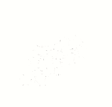 Cc1ccc2c(oc3ccccc32)c1N(c1cc(C(C)C)c2ccc3c(N(c4c(C)ccc5c4oc4ccccc45)c4c(C)ccc5c4oc4ccccc45)cc(C(C)C)c4ccc1c2c43)c1c(C)ccc2c1oc1ccccc12